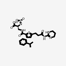 CC(C)c1ccccc1.O=C(CCc1ccc(C(=O)NC[C@H](N=S(=O)=O)C(=O)O)s1)NC1=NCCCN1